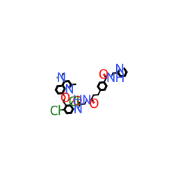 Cc1cc(N(C)C)c2cccc(OCc3c(Cl)ccc(N(C)C(=O)CNC(=O)CCc4ccc(C(=O)NCc5ccccn5)cc4)c3Cl)c2n1